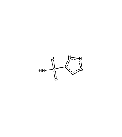 [NH]S(=O)(=O)c1csnn1